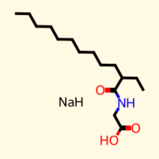 CCCCCCCCCCC(CC)C(=O)NCC(=O)O.[NaH]